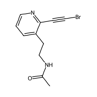 CC(=O)NCCc1cccnc1C#CBr